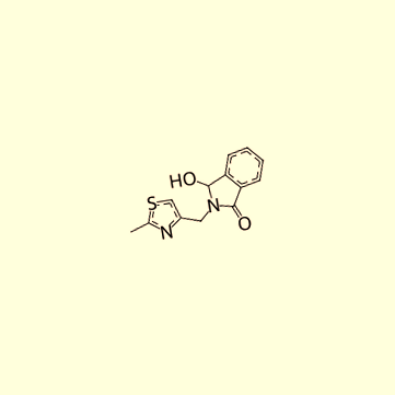 Cc1nc(CN2C(=O)c3ccccc3C2O)cs1